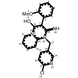 COc1ccccc1-c1c(O)[n+]2ccccc2n(Cc2ccc(Cl)nc2)c1=N